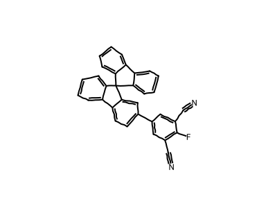 N#Cc1cc(-c2ccc3c(c2)C2(c4ccccc4-c4ccccc42)c2ccccc2-3)cc(C#N)c1F